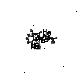 CC[C@H]1C[C@]1(Nc1ccccc1)C(=O)NS(=O)(=O)C1CC1.Cl.Cl